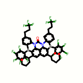 O=C1N2c3cc(CCC(F)(F)F)ccc3B(c3c(F)c(F)c(F)c(F)c3F)c3c(C4CCCCC4)cc4cc(C5CCCCC5)c5c(c4c32)N1c1cc(CCC(F)(F)F)ccc1B5c1c(F)c(F)c(F)c(F)c1F